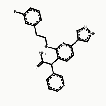 NC(=O)C(c1cccnc1)c1ccc(-c2cn[nH]c2)nc1NCCc1cccc(F)c1